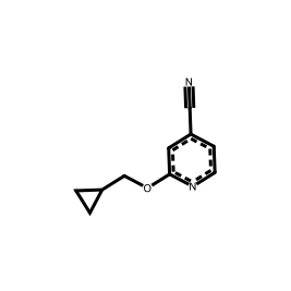 N#Cc1ccnc(OCC2CC2)c1